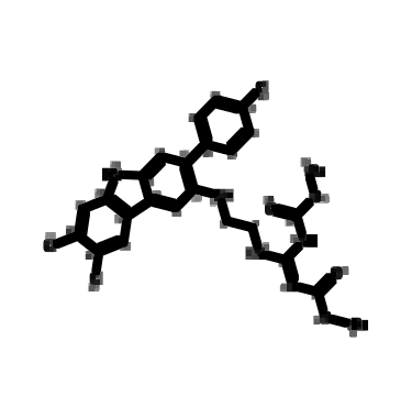 CC(C)(C)OC(=O)/N=C(/NCCNc1cc2c(cc1-c1ccc(Cl)cc1)[nH]c1cc(Cl)c(Cl)cc12)NC(=O)OC(C)(C)C